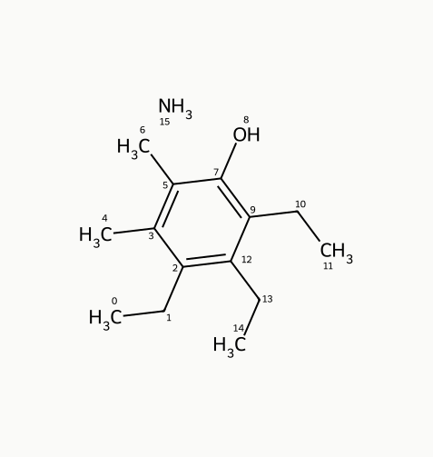 CCc1c(C)c(C)c(O)c(CC)c1CC.N